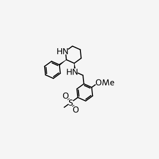 COc1ccc(S(C)(=O)=O)cc1CN[C@@H]1CCCN[C@@H]1c1ccccc1